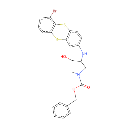 O=C(OCc1ccccc1)N1CC(O)C(Nc2ccc3c(c2)Sc2cccc(Br)c2S3)C1